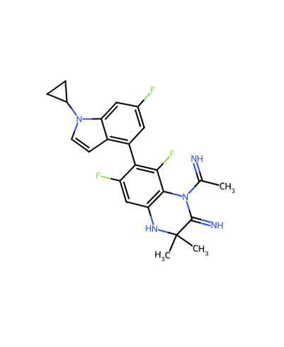 CC(=N)N1C(=N)C(C)(C)Nc2cc(F)c(-c3cc(F)cc4c3ccn4C3CC3)c(F)c21